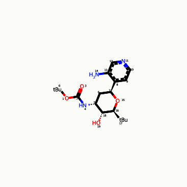 CC(C)(C)OC(=O)N[C@@H]1C[C@@H](c2ccncc2N)O[C@@H](C(C)(C)C)[C@@H]1O